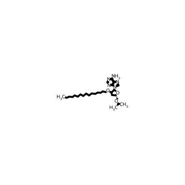 CCCCCCCCCCCCCCCCOC1C[C@@H](COC(C)C)O[C@H]1n1cnc2c(N)ncnc21